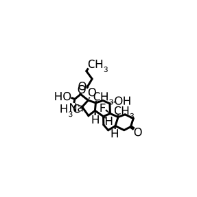 CCCC(=O)O[C@@]1(C(=O)[CH](O)[Na])[C@@H](C)C[C@H]2[C@@H]3CC[C@H]4CC(=O)CC[C@]4(C)[C@@]3(F)[C@@H](O)C[C@@]21C